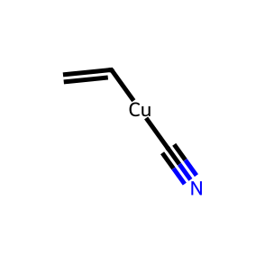 C=[CH][Cu][C]#N